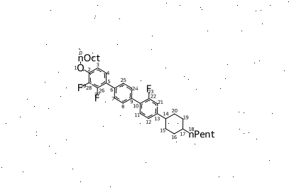 CCCCCCCCOc1ccc(-c2ccc(-c3ccc(C4CCC(CCCCC)CC4)cc3F)cc2)c(F)c1F